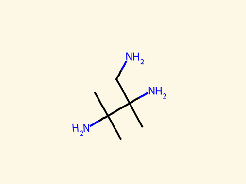 CC(C)(N)C(C)(N)CN